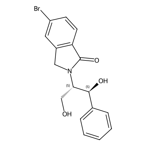 O=C1c2ccc(Br)cc2CN1[C@@H](CO)[C@@H](O)c1ccccc1